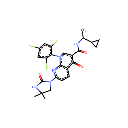 CC1(C)CN(c2ccc3c(=O)c(C(=O)NC(C4CC4)C(F)(F)F)cn(-c4c(F)cc(F)cc4F)c3n2)C(=O)N1